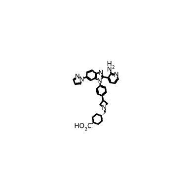 Nc1ncccc1-c1nc2ccc(-n3cccn3)cc2n1-c1ccc(C2CN(C[C@H]3CC[C@H](C(=O)O)CC3)C2)cc1